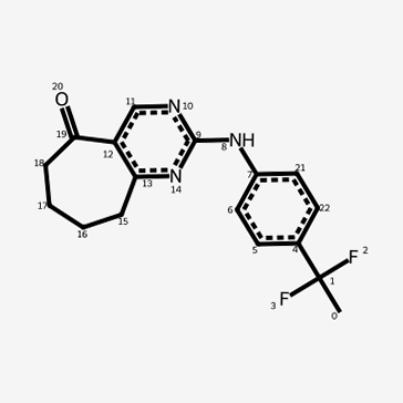 CC(F)(F)c1ccc(Nc2ncc3c(n2)CCCCC3=O)cc1